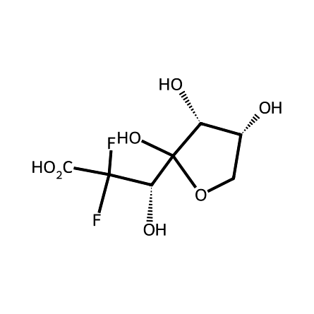 O=C(O)C(F)(F)[C@@H](O)C1(O)OC[C@@H](O)[C@H]1O